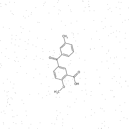 COc1ccc(C(=O)c2cccc(C)c2)cc1C(=O)O